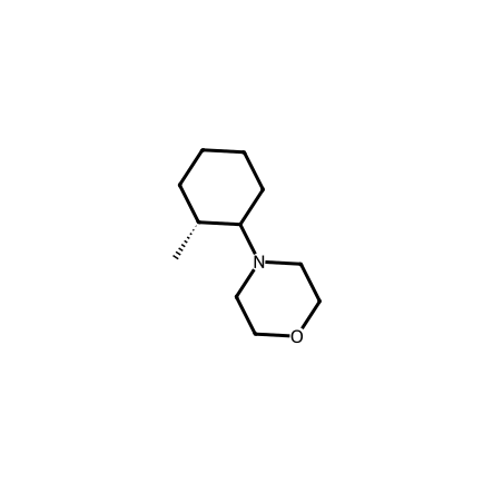 C[C@@H]1CCCCC1N1CCOCC1